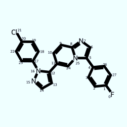 Fc1ccc(-c2cnc3ccc(-c4ccnn4-c4ccc(Cl)cc4)cn23)cc1